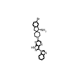 N[C@@H]1c2cc(Br)ccc2CC12CCN(c1cnc3c(-n4cnc5ccccc54)n[nH]c3n1)CC2